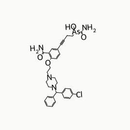 NC(=O)c1cc(C#CCC[As](O)C(N)=O)ccc1OCCN1CCN(C(c2ccccc2)c2ccc(Cl)cc2)CC1